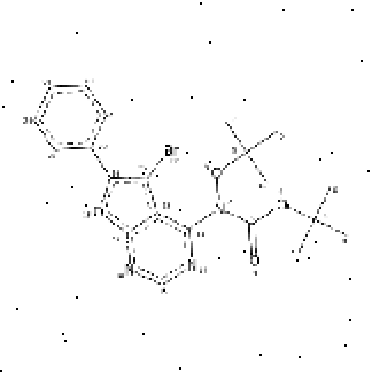 CC(C)(C)OC(=O)N(OC(C)(C)C)c1ncnc2oc(-c3ccccc3)c(Br)c12